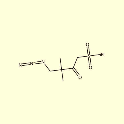 CC(C)S(=O)(=O)CC(=O)C(C)(C)CN=[N+]=[N-]